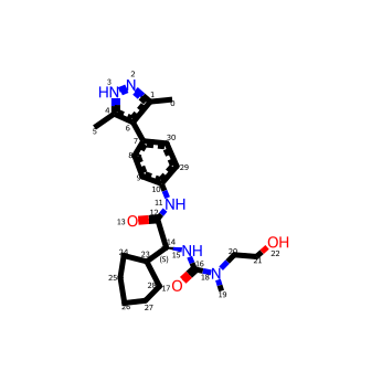 Cc1n[nH]c(C)c1-c1ccc(NC(=O)[C@@H](NC(=O)N(C)CCO)C2CCCCC2)cc1